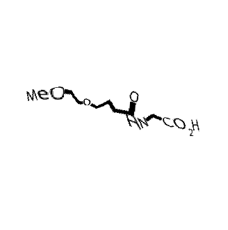 COCCOCCCC(=O)NCC(=O)O